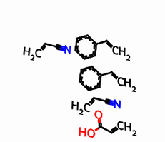 C=CC#N.C=CC#N.C=CC(=O)O.C=Cc1ccccc1.C=Cc1ccccc1